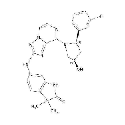 CC1(C)C(=O)Nc2cc(Nc3nc4c(N5C[C@H](O)C[C@@H]5c5cccc(F)c5)nccn4n3)ccc21